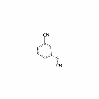 N#CSc1cccc(C#N)c1